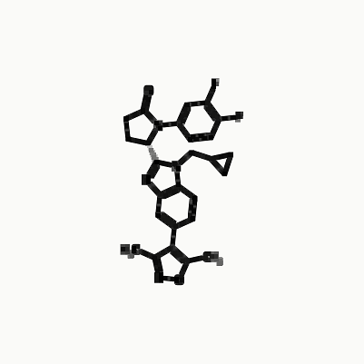 Cc1noc(C)c1-c1ccc2c(c1)nc([C@@H]1CCC(=O)N1c1ccc(F)c(F)c1)n2CC1CC1